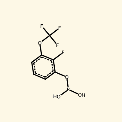 OB(O)Oc1cccc(OC(F)(F)F)c1F